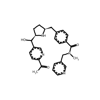 CC(=O)c1ccc(C(O)[C@H]2CC[C@@H](Cc3ccc(C(=O)N(C)Cc4cccnc4)cc3)N2)cn1